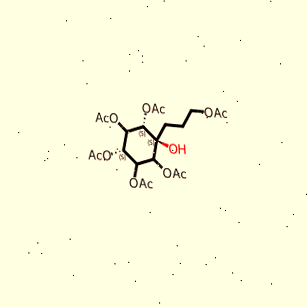 CC(=O)OCCC[C@]1(O)C(OC(C)=O)C(OC(C)=O)[C@H](OC(C)=O)C(OC(C)=O)[C@@H]1OC(C)=O